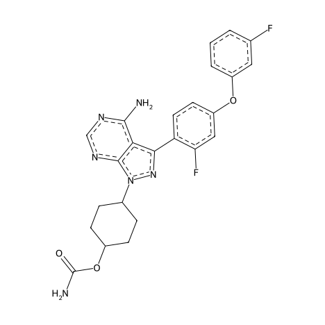 NC(=O)OC1CCC(n2nc(-c3ccc(Oc4cccc(F)c4)cc3F)c3c(N)ncnc32)CC1